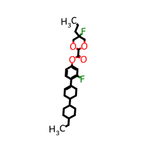 CCCC1(F)COC(C(=O)Oc2ccc(C3=CCC(C4CCC(CC)CC4)CC3)c(F)c2)OC1